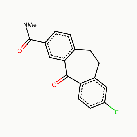 CNC(=O)c1ccc2c(c1)C(=O)c1ccc(Cl)cc1CC2